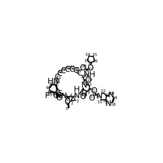 C=C[C@@H]1C[C@@]12NC(=O)[C@@H]1C[C@@H](OC(=O)N3Cc4nccnc4C3)CN1C(=O)[C@@H](NC(=O)OC1CCCC1)CCCCCCCNc1ccc(F)cc1S(=O)(=O)NC2=O